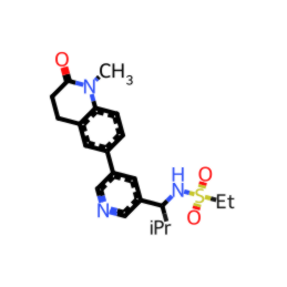 CCS(=O)(=O)NC(c1cncc(-c2ccc3c(c2)CCC(=O)N3C)c1)C(C)C